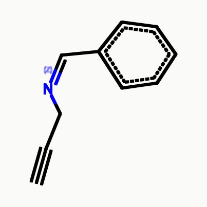 C#CC/N=C\c1ccccc1